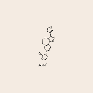 CC(=O)NC[C@H]1CN(c2ccc3c(c2)CCCc2c(-c4ccsc4)noc2-3)C(=O)O1